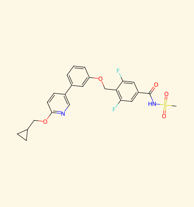 CS(=O)(=O)NC(=O)c1cc(F)c(COc2cccc(-c3ccc(OCC4CC4)nc3)c2)c(F)c1